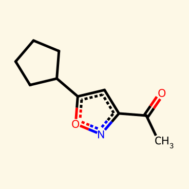 CC(=O)c1cc(C2CCCC2)on1